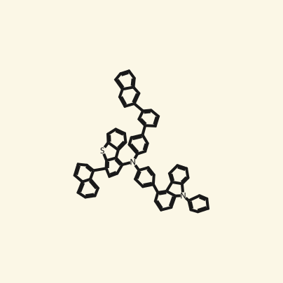 c1ccc(-n2c3ccccc3c3c(-c4ccc(N(c5ccc(-c6cccc(-c7ccc8ccccc8c7)c6)cc5)c5ccc(-c6cccc7ccccc67)c6sc7ccccc7c56)cc4)cccc32)cc1